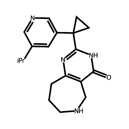 CC(C)c1cncc(C2(c3nc4c(c(=O)[nH]3)CNCCC4)CC2)c1